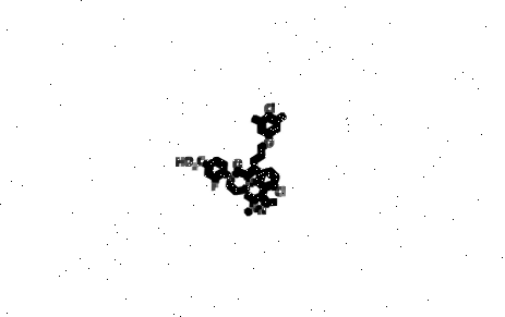 Cc1cc(OCCCc2c3n(c4c(-c5c(C)nn(C)c5C)c(Cl)ccc24)CCCN(c2ccc(C(=O)O)cc2F)C3=O)cc(C)c1Cl